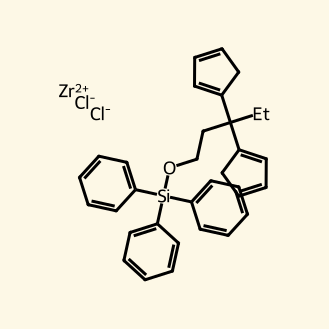 CCC(CCO[Si](c1ccccc1)(c1ccccc1)c1ccccc1)(C1=CC=CC1)C1=CC=CC1.[Cl-].[Cl-].[Zr+2]